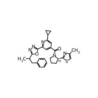 C[C](Cc1ccccc1)c1nnc(-c2cc(C(=O)N3CCC[C@@H]3c3nc(C)cs3)cc(C3CC3)n2)o1